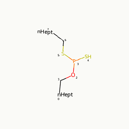 CCCCCCCCOP(S)SCCCCCCCC